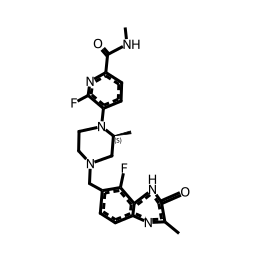 CNC(=O)c1ccc(N2CCN(Cc3ccc4nc(C)c(=O)[nH]c4c3F)C[C@@H]2C)c(F)n1